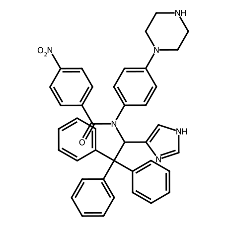 O=C(c1ccc([N+](=O)[O-])cc1)N(c1ccc(N2CCNCC2)cc1)C(c1c[nH]cn1)C(c1ccccc1)(c1ccccc1)c1ccccc1